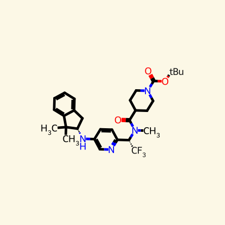 CN(C(=O)C1CCN(C(=O)OC(C)(C)C)CC1)[C@@H](c1ccc(N[C@H]2Cc3ccccc3C2(C)C)cn1)C(F)(F)F